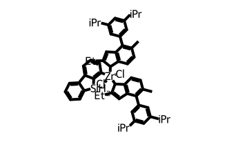 CCC1=Cc2c(ccc(C)c2-c2cc(C(C)C)cc(C(C)C)c2)[CH]1[Zr]([Cl])([Cl])([c]1cccc2c1[SiH2]c1ccccc1-2)[CH]1C(CC)=Cc2c1ccc(C)c2-c1cc(C(C)C)cc(C(C)C)c1